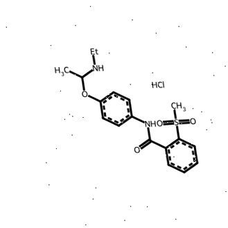 CCNC(C)Oc1ccc(NC(=O)c2ccccc2S(C)(=O)=O)cc1.Cl